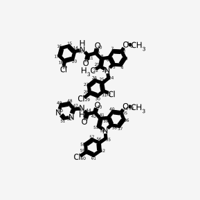 COc1ccc2c(c1)c(C(=O)C(=O)Nc1cccc(Cl)c1)c(C)n2Cc1ccc(Cl)cc1Cl.COc1ccc2c(c1)c(C(=O)C(=O)Nc1ccncn1)cn2Cc1ccc(Cl)cc1